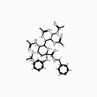 CC(=O)N[C@H]1C([C@H](OC(C)=O)[C@@H](COC(C)=O)OC(C)=O)O[C@](Sc2ccccc2)(C(=O)OCc2ccccc2)C[C@@H]1OC(C)=O